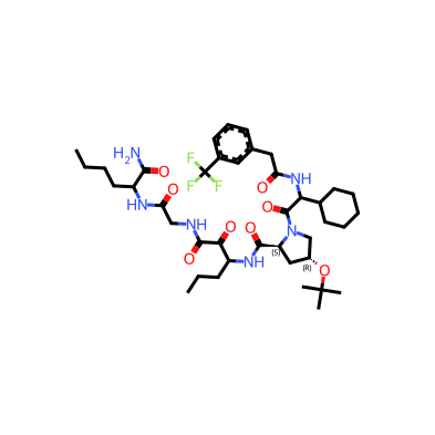 CCCCC(NC(=O)CNC(=O)C(=O)C(CCC)NC(=O)[C@@H]1C[C@@H](OC(C)(C)C)CN1C(=O)C(NC(=O)Cc1cccc(C(F)(F)F)c1)C1CCCCC1)C(N)=O